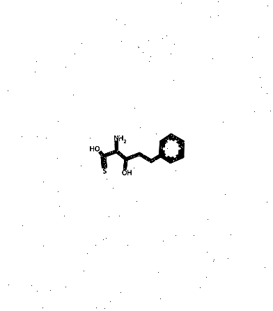 NC(C(O)=S)C(O)CCc1ccccc1